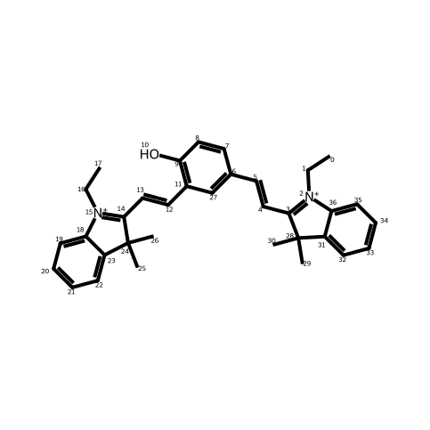 CC[N+]1=C(/C=C/c2ccc(O)c(/C=C/C3=[N+](CC)c4ccccc4C3(C)C)c2)C(C)(C)c2ccccc21